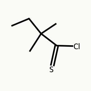 CCC(C)(C)C(=S)Cl